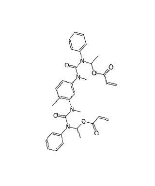 C=CC(=O)OC(C)N(C(=O)N(C)c1ccc(C)c(N(C)C(=O)N(c2ccccc2)C(C)OC(=O)C=C)c1)c1ccccc1